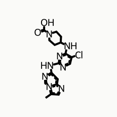 Cc1cnc2cc(Nc3ncc(Cl)c(NC4CCN(C(=O)O)CC4)n3)ncn12